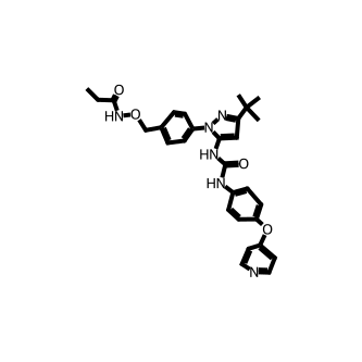 CCC(=O)NOCc1ccc(-n2nc(C(C)(C)C)cc2NC(=O)Nc2ccc(Oc3ccncc3)cc2)cc1